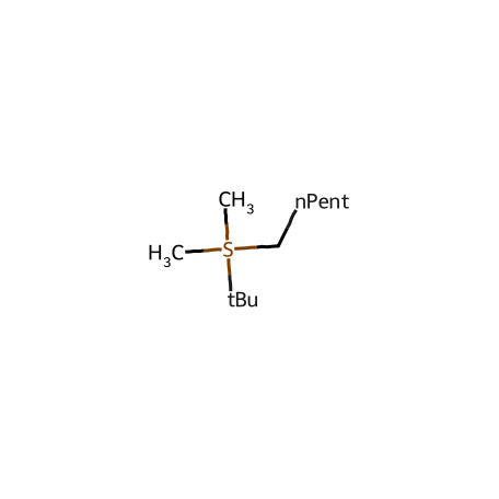 CCCCCCS(C)(C)C(C)(C)C